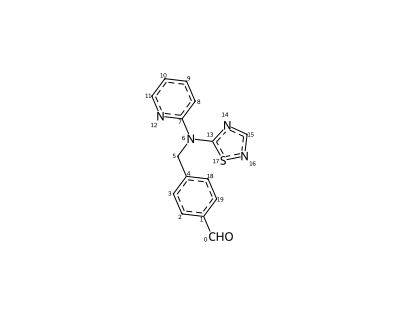 O=Cc1ccc(CN(c2ccccn2)c2ncns2)cc1